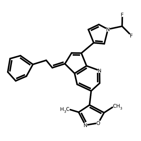 Cc1noc(C)c1-c1cnc2c(c1)/C(=C/Cc1ccccc1)C=C2c1ccn(C(F)F)c1